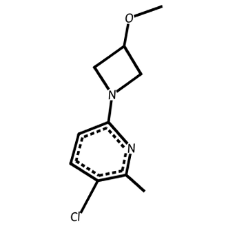 COC1CN(c2ccc(Cl)c(C)n2)C1